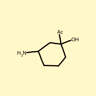 CC(=O)C1(O)CCCC(N)C1